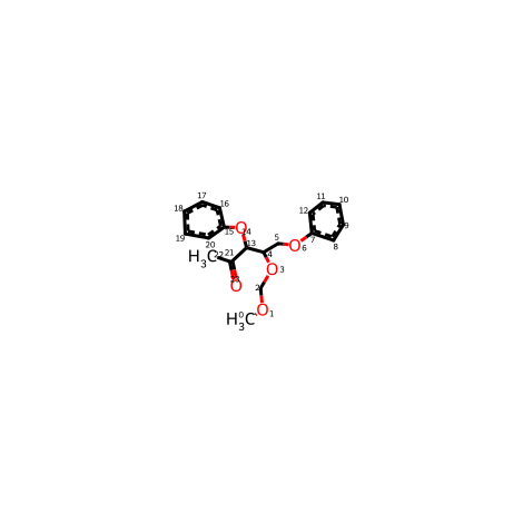 COCOC(COc1ccccc1)C(Oc1ccccc1)C(C)=O